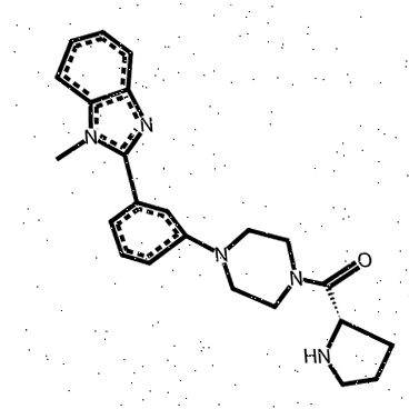 Cn1c(-c2cccc(N3CCN(C(=O)[C@@H]4CCCN4)CC3)c2)nc2ccccc21